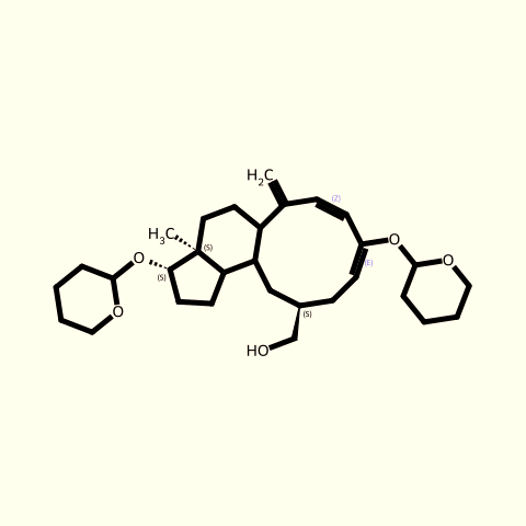 C=C1/C=C\C(OC2CCCCO2)=C/C[C@@H](CO)CC2C1CC[C@@]1(C)C2CC[C@@H]1OC1CCCCO1